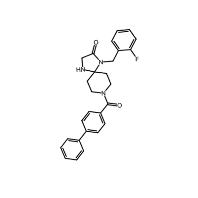 O=C(c1ccc(-c2ccccc2)cc1)N1CCC2(CC1)NCC(=O)N2Cc1ccccc1F